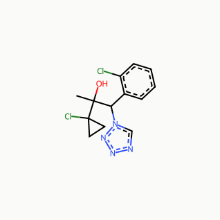 CC(O)(C(c1ccccc1Cl)n1cnnn1)C1(Cl)CC1